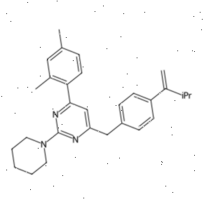 C=C(c1ccc(Cc2cc(-c3ccc(C)cc3C)nc(N3CCCCC3)n2)cc1)C(C)C